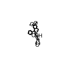 COc1cc2c(cc1OC)C(c1ccccc1)N(C(=O)NCCN1CCOCC1)CC2